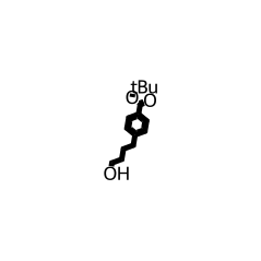 CC(C)(C)OC(=O)c1ccc(CCCCO)cc1